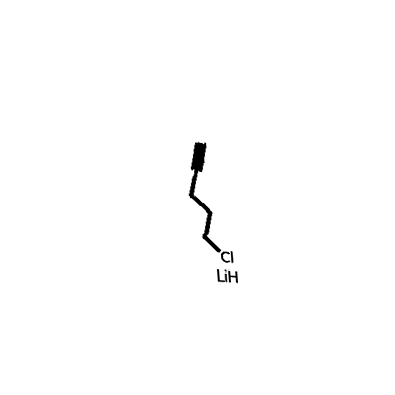 [C]#CCCCCl.[LiH]